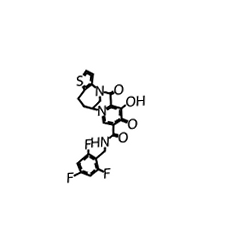 O=C(NCc1c(F)cc(F)cc1F)c1cn2c(c(O)c1=O)C(=O)N1CC2CCc2sccc21